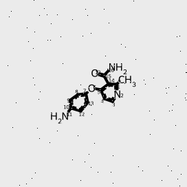 Cc1nccc(Oc2ccc(N)cc2)c1C(N)=O